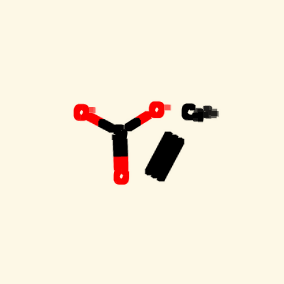 C#C.O=[Si]([O-])[O-].[Ca+2]